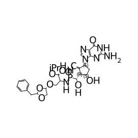 C=C1[C@@H](C(O)[PH](=O)NC(COC2COC(Cc3ccccc3)O2)C(=O)OC(C)C)[C@@H](O)C[C@@H]1n1cnc2c(=O)[nH]c(N)nc21